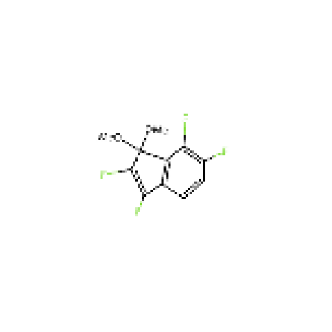 COC1(OC)C(F)=C(F)c2ccc(F)c(F)c21